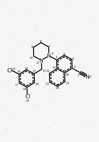 N#Cc1ccc(N2CCCCN2Cc2cc(Cl)cc(Cl)c2)c2ccccc12